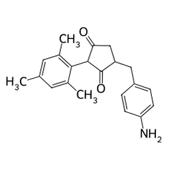 Cc1cc(C)c(C2C(=O)CC(Cc3ccc(N)cc3)C2=O)c(C)c1